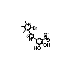 Cc1nc(Br)c(-c2cc(-c3cc(O)c(O)c([N+](=O)[O-])c3)no2)c(C)c1C